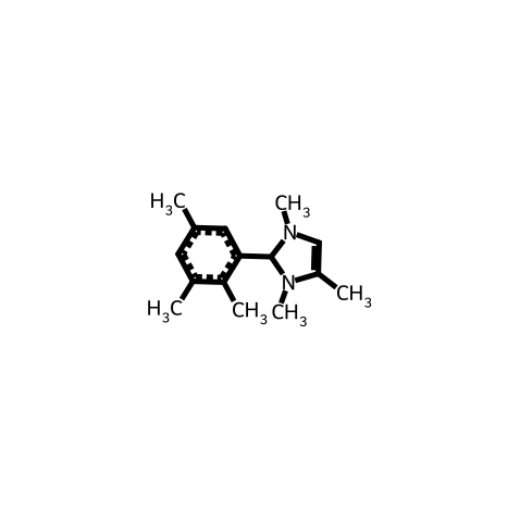 CC1=CN(C)C(c2cc(C)cc(C)c2C)N1C